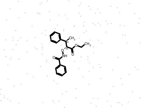 CCOC(=O)[C@H](ONC(=O)c1ccccc1)[C@H](C)c1ccccc1